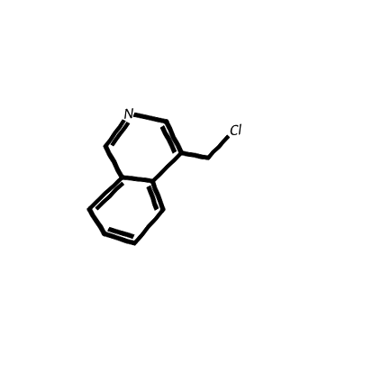 ClCc1cncc2ccccc12